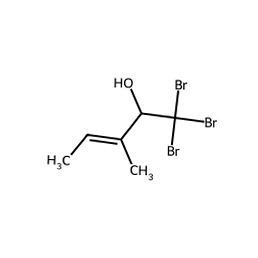 C/C=C(\C)C(O)C(Br)(Br)Br